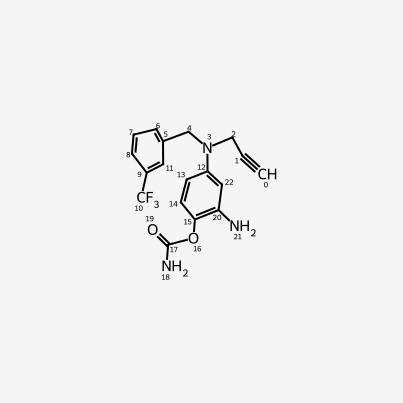 C#CCN(Cc1cccc(C(F)(F)F)c1)c1ccc(OC(N)=O)c(N)c1